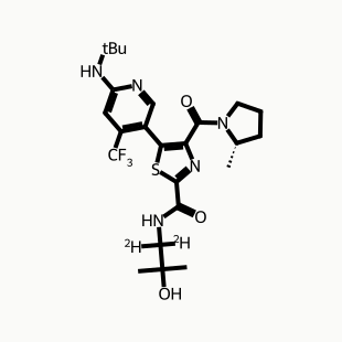 [2H]C([2H])(NC(=O)c1nc(C(=O)N2CCC[C@@H]2C)c(-c2cnc(NC(C)(C)C)cc2C(F)(F)F)s1)C(C)(C)O